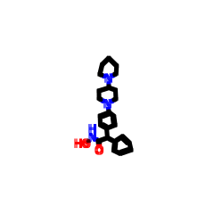 O=C(NO)C(c1ccccc1)c1ccc(N2CCC(N3CCCCC3)CC2)cc1